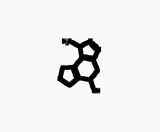 CC1N=NC2=C1C1=C(CCC1)C(O)C2